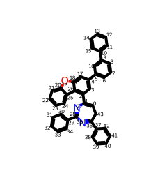 C1=C(c2cc(-c3cccc(-c4ccccc4)c3)cc3oc4ccccc4c23)N=C(c2ccccc2)N=C(c2ccccc2)C1